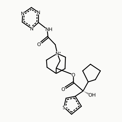 O=C(C[N+]12CCC(CC1)C(OC(=O)[C@](O)(c1ccsc1)C1CCCC1)C2)Nc1ncncn1